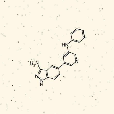 Nc1n[nH]c2ccc(-c3cncc(Nc4ccccc4)c3)cc12